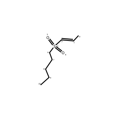 CC=CS(=O)(=O)CCCCC